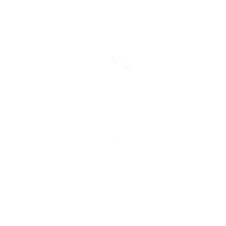 Cn1ncc2cc(-c3cccc(I)n3)ccc21